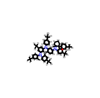 Cc1cc(C(C)(C)C)ccc1N1c2ccc(C(C)(C)C)cc2B2c3ccc(N4c5ccc(C(C)(C)C)cc5C5(c6ccc(C(C)(C)C)cc6)CCCCC45C)cc3N(c3ccc(C(C)(C)C)cc3)c3cc(C(C)(C)C)cc1c32